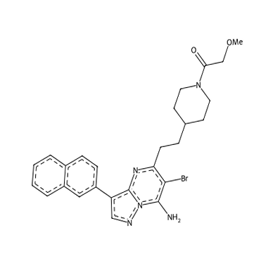 COCC(=O)N1CCC(CCc2nc3c(-c4ccc5ccccc5c4)cnn3c(N)c2Br)CC1